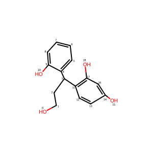 OCCC(c1ccccc1O)c1ccc(O)cc1O